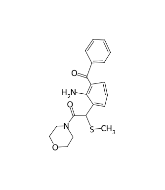 CSC(C(=O)N1CCOCC1)c1cccc(C(=O)c2ccccc2)c1N